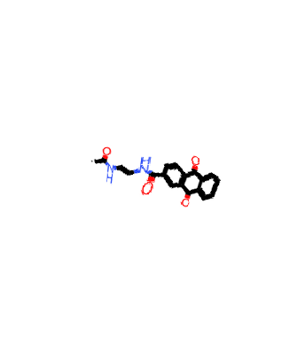 [CH2]C(=O)NCCNC(=O)c1ccc2c(c1)C(=O)c1ccccc1C2=O